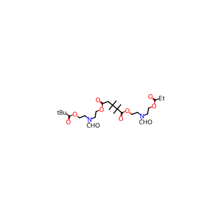 CCC(=O)OCCN(C=O)CCOC(=O)C(C)(C)C(C)(C)CC(=O)OCCN(C=O)CCOC(=O)C(C)(C)C